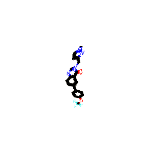 Cn1ccc(Cn2cnc3ccc(-c4ccc(OC(F)(F)F)cc4)cc3c2=O)n1